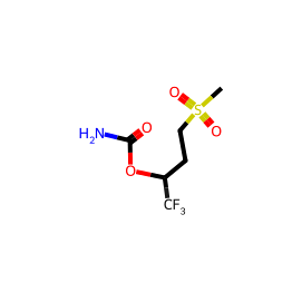 CS(=O)(=O)CCC(OC(N)=O)C(F)(F)F